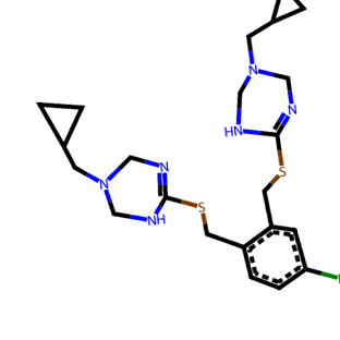 Fc1ccc(CSC2=NCN(CC3CC3)CN2)c(CSC2=NCN(CC3CC3)CN2)c1